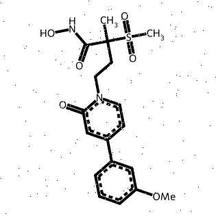 COc1cccc(-c2ccn(CCC(C)(C(=O)NO)S(C)(=O)=O)c(=O)c2)c1